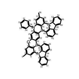 Cc1cc2c3c(c1)-n1c4ccccc4c4cccc(c41)B3c1cc3c(cc1O2)N(c1ccccc1)c1cc(C)cc2c1B3c1cccc3c4ccccc4n-2c13